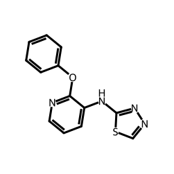 c1ccc(Oc2ncccc2Nc2nncs2)cc1